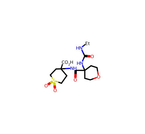 CCNC(=O)NC1(C(=O)NC2(C(=O)O)CCS(=O)(=O)CC2)CCOCC1